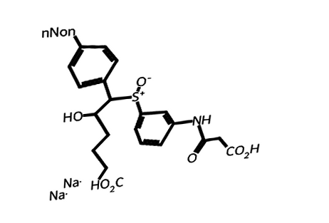 CCCCCCCCCc1ccc(C(C(O)CCCC(=O)O)[S+]([O-])c2cccc(NC(=O)CC(=O)O)c2)cc1.[Na].[Na]